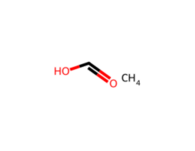 C.O=CO